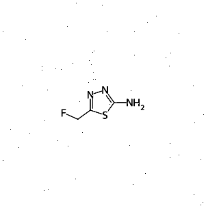 Nc1nnc(CF)s1